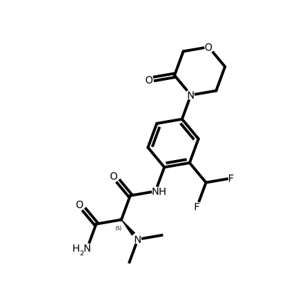 CN(C)[C@@H](C(N)=O)C(=O)Nc1ccc(N2CCOCC2=O)cc1C(F)F